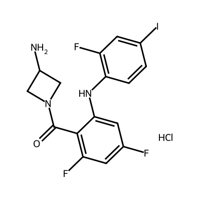 Cl.NC1CN(C(=O)c2c(F)cc(F)cc2Nc2ccc(I)cc2F)C1